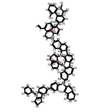 C=Cc1ccccc1/C=C\N(c1ccc2c(ccc3c4ccc5c6ccc7cc(N(c8ccc(-c9ccc%10c(c9)c9c(n%10-c%10ccccc%10)C=CC9)cc8)c8ccc9ccccc9c8)ccc7c6n(-c6ccccc6)c5c4n(-c4ccccc4)c23)c1)C1C=CC(c2ccc(C(C)CC)c(-c3ccccc3C)c2)=CC1